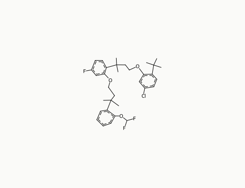 CC(C)(C)c1ccc(Cl)cc1OCCC(C)(C)c1ccc(F)cc1OCCC(C)(C)c1ccccc1OC(F)F